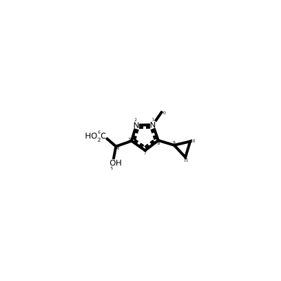 Cn1nc(C(O)C(=O)O)cc1C1CC1